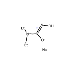 CCN(CC)/[N+]([O-])=N/O.[Na]